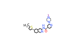 Cc1ccc(-c2ccc3cnc(NC(=O)c4ccnc(N5CCN(I)CC5)c4)cc3c2)s1